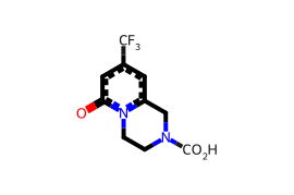 O=C(O)N1CCn2c(cc(C(F)(F)F)cc2=O)C1